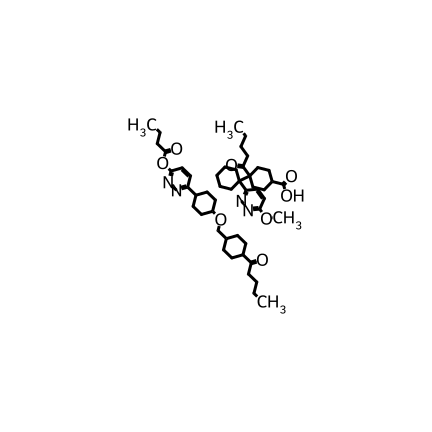 CCCCC(=O)C1(C2(c3ccc(OC)nn3)CCCCC2)CCC(C(=O)O)CC1.CCCCC(=O)C1CCC(COC2CCC(c3ccc(OC(=O)CCC)nn3)CC2)CC1